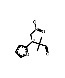 CC(C)(C=O)[C@H](C[N+](=O)[O-])c1ccco1